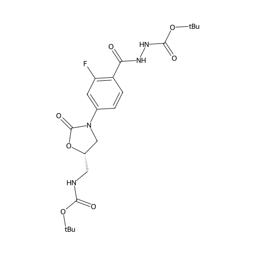 CC(C)(C)OC(=O)NC[C@H]1CN(c2ccc(C(=O)NNC(=O)OC(C)(C)C)c(F)c2)C(=O)O1